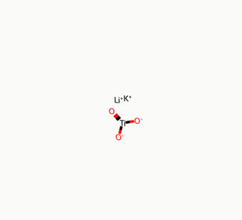 [K+].[Li+].[O]=[Ti]([O-])[O-]